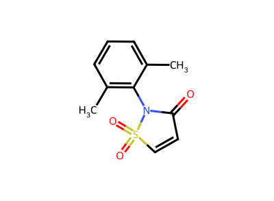 Cc1cccc(C)c1N1C(=O)C=CS1(=O)=O